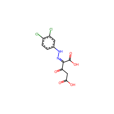 O=C(O)CC(=O)C(=NNc1ccc(Cl)c(Cl)c1)C(=O)O